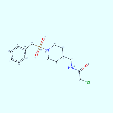 O=C(CCl)NCC1CCN(S(=O)(=O)Cc2ccccc2)CC1